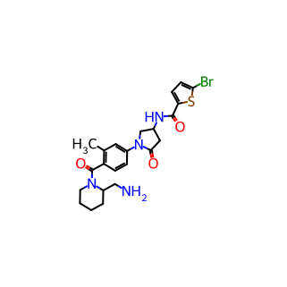 Cc1cc(N2CC(NC(=O)c3ccc(Br)s3)CC2=O)ccc1C(=O)N1CCCCC1CN